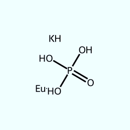 O=P(O)(O)O.[Eu].[KH]